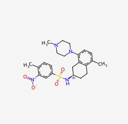 Cc1ccc(S(=O)(=O)N[C@@H]2CCc3c(C)ccc(N4CCN(C)CC4)c3C2)cc1[N+](=O)[O-]